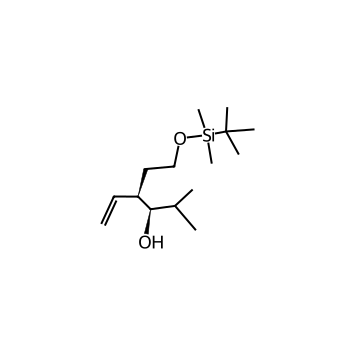 C=C[C@@H](CCO[Si](C)(C)C(C)(C)C)[C@H](O)C(C)C